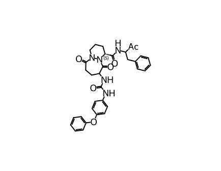 [CH2]C(=O)C(Cc1ccccc1)NC(=O)[C@@H]1CCCN2C(=O)CCC(NC(=O)Nc3ccc(Oc4ccccc4)cc3)C(=O)N12